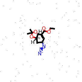 CCOC(=O)C1=C[C@@H](N=[N+]=[N-])C[C@@H]2OC(C)(C)O[C@H]12